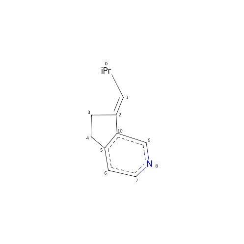 CC(C)/C=C1\CCc2ccncc21